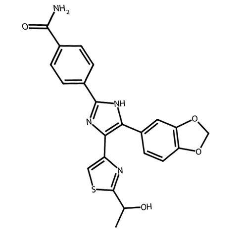 CC(O)c1nc(-c2nc(-c3ccc(C(N)=O)cc3)[nH]c2-c2ccc3c(c2)OCO3)cs1